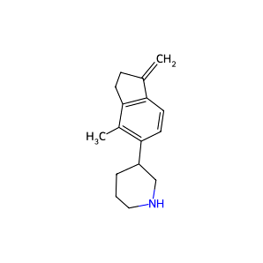 C=C1CCc2c1ccc(C1CCCNC1)c2C